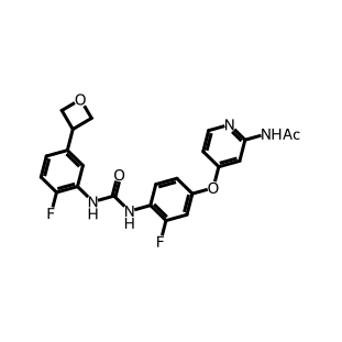 CC(=O)Nc1cc(Oc2ccc(NC(=O)Nc3cc(C4COC4)ccc3F)c(F)c2)ccn1